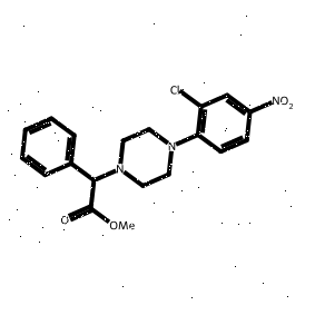 COC(=O)C(c1ccccc1)N1CCN(c2ccc([N+](=O)[O-])cc2Cl)CC1